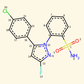 NS(=O)(=O)c1ccccc1-n1nc(F)cc1-c1ccc(Cl)cc1